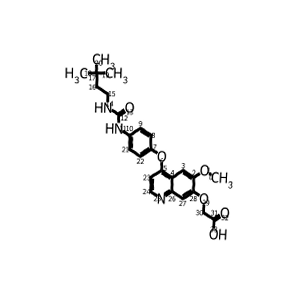 COc1cc2c(Oc3ccc(NC(=O)NCCC(C)(C)C)cc3)ccnc2cc1OCC(=O)O